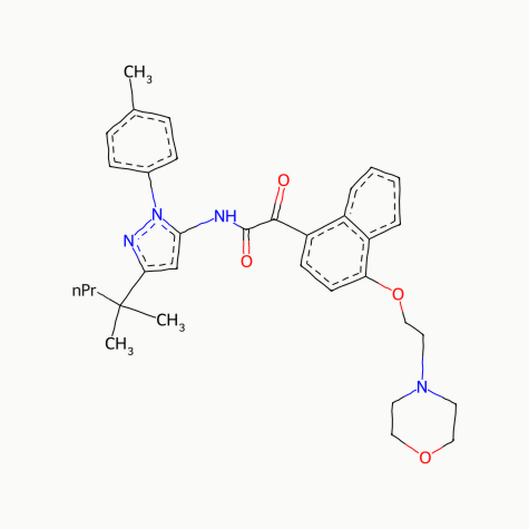 CCCC(C)(C)c1cc(NC(=O)C(=O)c2ccc(OCCN3CCOCC3)c3ccccc23)n(-c2ccc(C)cc2)n1